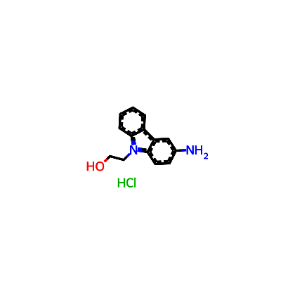 Cl.Nc1ccc2c(c1)c1ccccc1n2CCO